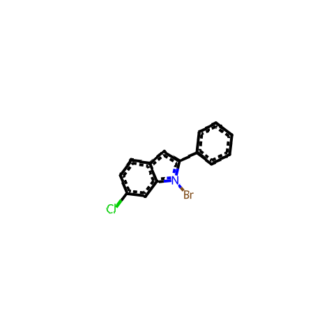 Clc1ccc2cc(-c3ccccc3)n(Br)c2c1